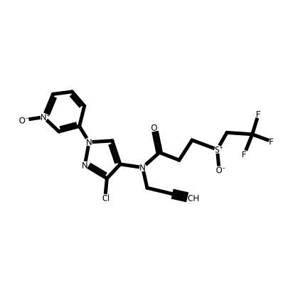 C#CCN(C(=O)CC[S+]([O-])CC(F)(F)F)c1cn(-c2ccc[n+]([O-])c2)nc1Cl